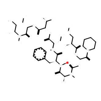 CC(=O)[C@H](CC(C)C)N(C)C(=O)[C@H](CC(C)C)NC(=O)[C@@H](NC(=O)[C@H](CC(C)C)N(C)C(=O)[C@H](Cc1ccccc1)N(C)C(=O)[C@H](C)N(C)C(=O)C[C@H](NC(=O)[C@@H](N)COC(C)(C)C)C(=O)N1CCCCC1)[C@@H](C)O